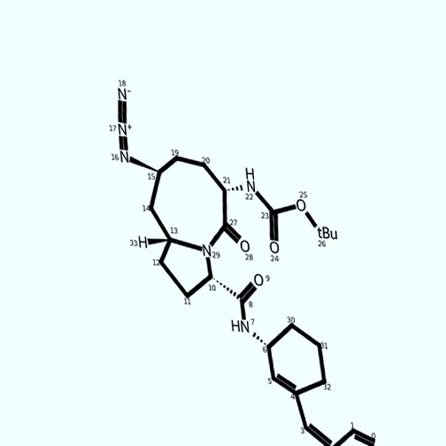 C=C/C=C\C1=C[C@H](NC(=O)[C@@H]2CC[C@@H]3C[C@@H](N=[N+]=[N-])CC[C@H](NC(=O)OC(C)(C)C)C(=O)N32)CCC1